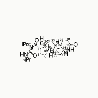 CC(C)NC(=O)N(C(=O)[C@H]1CC[C@H]2[C@@H]3CC[C@H]4NC(=O)CC[C@]4(C)[C@H]3CC[C@]12C)C(C)C